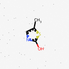 Cc1[c]nc(O)s1